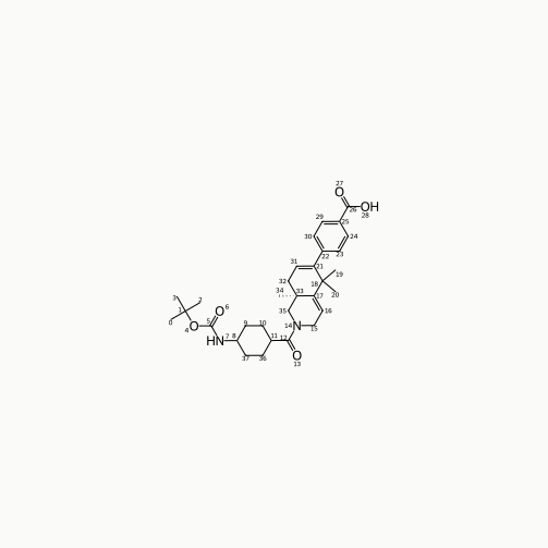 CC(C)(C)OC(=O)NC1CCC(C(=O)N2CC=C3C(C)(C)C(c4ccc(C(=O)O)cc4)=CC[C@]3(C)C2)CC1